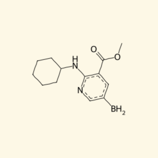 Bc1cnc(NC2CCCCC2)c(C(=O)OC)c1